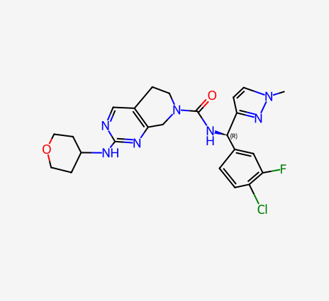 Cn1ccc([C@H](NC(=O)N2CCc3cnc(NC4CCOCC4)nc3C2)c2ccc(Cl)c(F)c2)n1